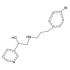 OC(CNCCCc1ccc(Br)cc1)c1cccnc1